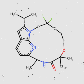 CC(C)c1cc2ccc3nc2n1CC(F)(F)CCCOC(C)(C)C(=O)NC3C